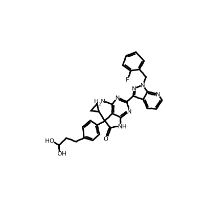 Nc1nc(-c2nn(Cc3ccccc3F)c3ncccc23)nc2c1C(c1ccc(CCC(O)O)cc1)(C1CC1)C(=O)N2